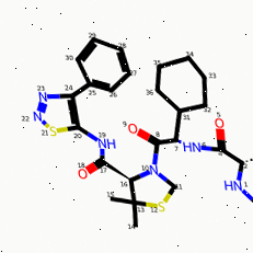 CN[C@@H](C)C(=O)N[C@H](C(=O)N1CSC(C)(C)[C@H]1C(=O)Nc1snnc1-c1ccccc1)C1CCCCC1